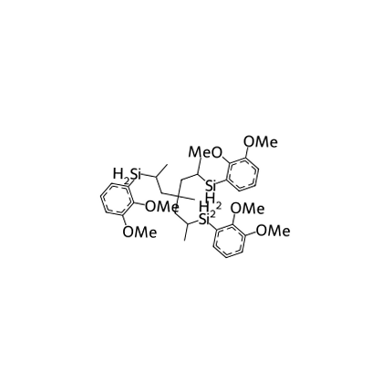 COc1cccc([SiH2]C(C)CC(C)(CC(C)[SiH2]c2cccc(OC)c2OC)CC(C)[SiH2]c2cccc(OC)c2OC)c1OC